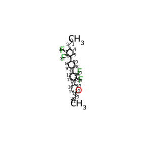 CCCc1ccc(-c2ccc(-c3ccc(C4CCC(CCC)OC4)c(F)c3F)cc2)c(F)c1F